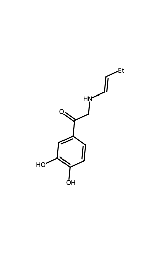 CCC=CNCC(=O)c1ccc(O)c(O)c1